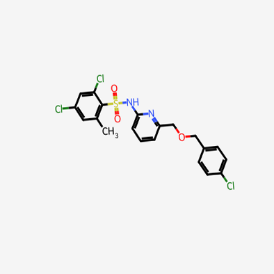 Cc1cc(Cl)cc(Cl)c1S(=O)(=O)Nc1cccc(COCc2ccc(Cl)cc2)n1